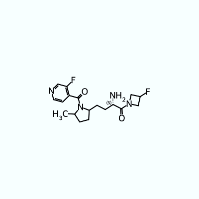 CC1CCC(CC[C@H](N)C(=O)N2CC(F)C2)N1C(=O)c1ccncc1F